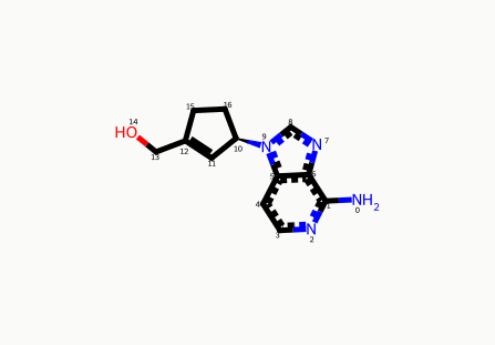 Nc1nccc2c1ncn2[C@H]1C=C(CO)CC1